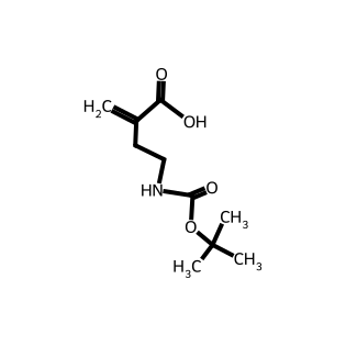 C=C(CCNC(=O)OC(C)(C)C)C(=O)O